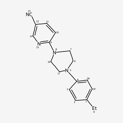 CCc1ccc(N2CCN(c3ccc(C#N)cn3)CC2)cc1